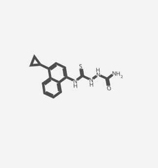 NC(=O)NNC(=S)Nc1ccc(C2CC2)c2ccccc12